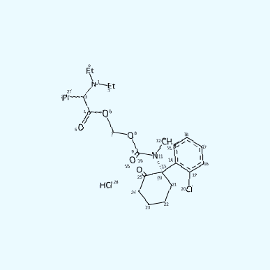 CCN(CC)C(C(=O)OCOC(=O)N(C)[C@]1(c2ccccc2Cl)CCCCC1=O)C(C)C.Cl